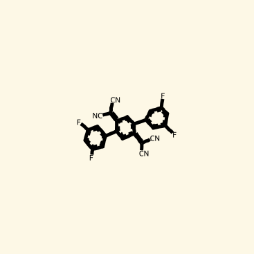 N#CC(C#N)=c1cc(-c2cc(F)cc(F)c2)c(=C(C#N)C#N)cc1-c1cc(F)cc(F)c1